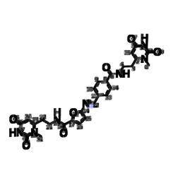 Cn1c(CCNC(=O)c2ccc(/C=N/c3ccc(C(=O)NCCc4cc(=O)[nH]c(=O)n4C)o3)cc2)cc(=O)[nH]c1=O